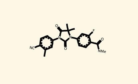 CNC(=O)c1ccc(N2C(=O)N(c3ccc(C#N)c(C)c3)C(=O)C2(C)C)cc1F